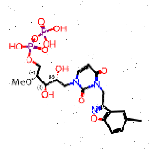 CO[C@H](COP(=O)(O)OP(=O)(O)O)[C@H](O)[C@H](O)Cn1ccc(=O)n(Cc2noc3ccc(C)cc23)c1=O